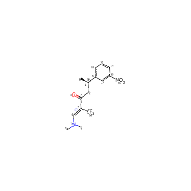 C[C@H](CC(=O)/C(=C/N(C)C)C(F)(F)F)c1cccc([N+](=O)[O-])c1